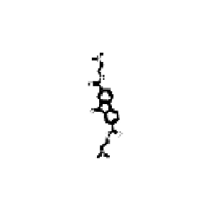 CN(C)CCOC(=O)c1ccc2c(c1)C(=O)c1cc(C(=O)OCCN(C)C)ccc1-2